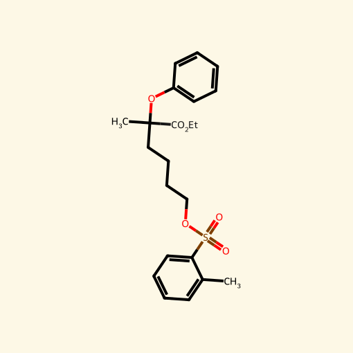 CCOC(=O)C(C)(CCCCOS(=O)(=O)c1ccccc1C)Oc1ccccc1